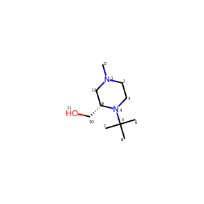 CN1CCN(C(C)(C)C)[C@H](CO)C1